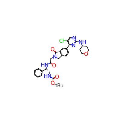 CC(C)(C)OC(=O)NC[C@@H](NC(=O)CN1Cc2ccc(-c3nc(NC4CCOCC4)ncc3Cl)cc2C1=O)c1ccccc1